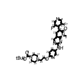 Cn1c(=O)c(-c2c(F)cncc2F)cc2cnc(Nc3ccc(OCCN4CCN(C(=O)OC(C)(C)C)CC4)nc3)nc21